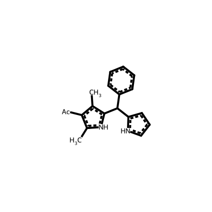 CC(=O)c1c(C)[nH]c(C(c2ccccc2)c2ccc[nH]2)c1C